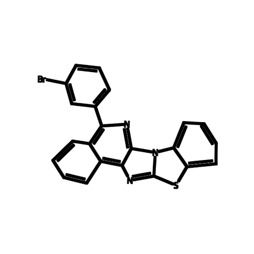 Brc1cccc(-c2nc3c(nc4sc5ccccc5n43)c3ccccc23)c1